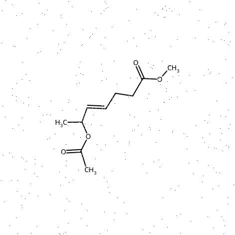 COC(=O)CC/C=C/C(C)OC(C)=O